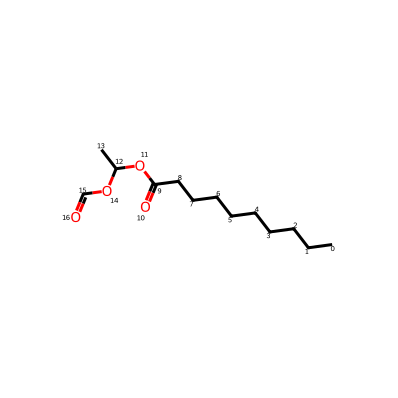 CCCCCCCCCC(=O)OC(C)OC=O